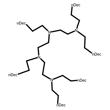 CCCCCCCCCCCCN(CCCCCCCCCCCC)CCN(CCCCCCCCCCCC)CCN(CCCCCCCCCCCC)CCN(CCCCCCCCCCCC)CCCCCCCCCCCC